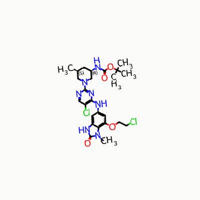 C[C@H]1C[C@@H](NC(=O)OC(C)(C)C)CN(c2ncc(Cl)c(Nc3cc(OCCCl)c4c(c3)[nH]c(=O)n4C)n2)C1